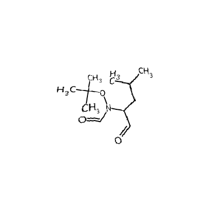 CC(C)CC(C=O)N(C=O)OC(C)(C)C